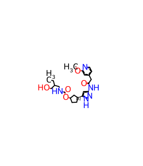 CCC(CO)CNC(=O)OC1CC[C@H](c2cc(NC(=O)Cc3ccnc(OC)c3)n[nH]2)C1